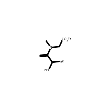 CCCC(CCC)C(=O)N(C)CC(=O)OCC